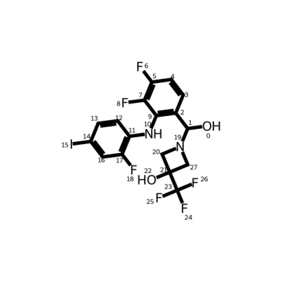 OC(c1ccc(F)c(F)c1Nc1ccc(I)cc1F)N1CC(O)(C(F)(F)F)C1